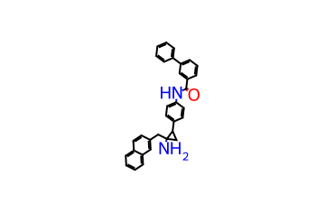 NC1(Cc2ccc3ccccc3c2)CC1c1ccc(NC(=O)c2cccc(-c3ccccc3)c2)cc1